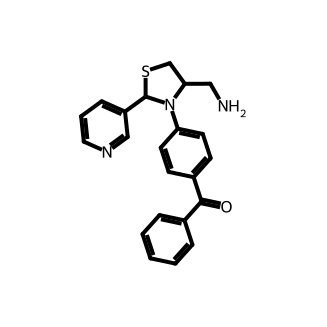 NCC1CSC(c2cccnc2)N1c1ccc(C(=O)c2ccccc2)cc1